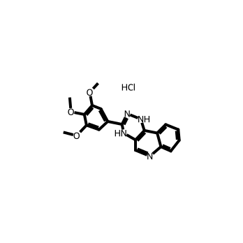 COc1cc(C2=NNc3c(cnc4ccccc34)N2)cc(OC)c1OC.Cl